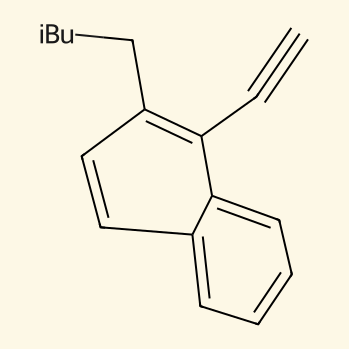 C#Cc1c(CC(C)CC)ccc2ccccc12